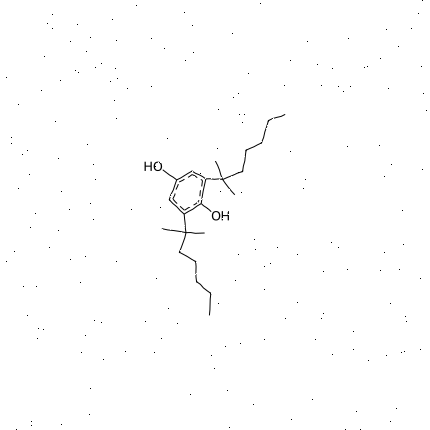 CCCCCC(C)(C)c1cc(O)cc(C(C)(C)CCCCC)c1O